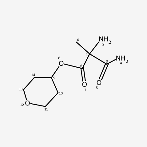 CC(N)(C(N)=O)C(=O)OC1CCOCC1